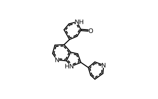 O=c1cc(-c2ccnc3[nH]c(-c4cccnc4)cc23)cc[nH]1